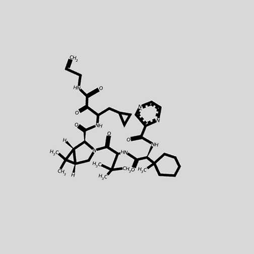 C=CCNC(=O)C(=O)C(CC1CC1)NC(=O)[C@@H]1[C@@H]2[C@H](CN1C(=O)[C@@H](NC(=O)[C@@H](NC(=O)c1cnccn1)C1(C)CCCCC1)C(C)(C)C)C2(C)C